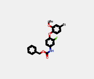 CCCCOc1cc(CC)ccc1Oc1ccc(NC(=O)OCc2ccccc2)cc1F